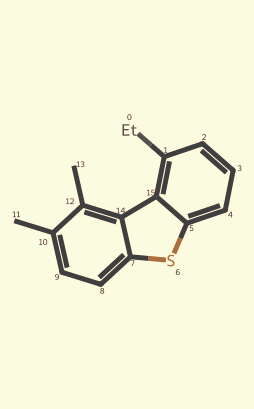 CCc1cccc2sc3ccc(C)c(C)c3c12